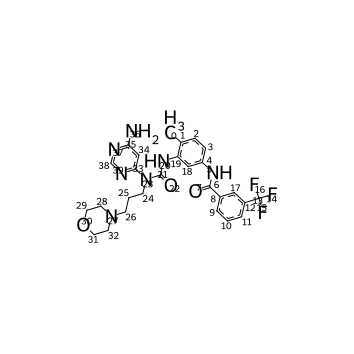 Cc1ccc(NC(=O)c2cccc(C(F)(F)F)c2)cc1NC(=O)N(CCCN1CCOCC1)c1cc(N)ncn1